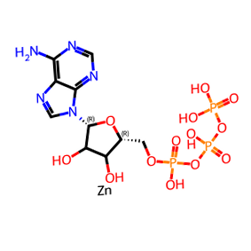 Nc1ncnc2c1ncn2[C@@H]1O[C@H](COP(=O)(O)OP(=O)(O)OP(=O)(O)O)C(O)C1O.[Zn]